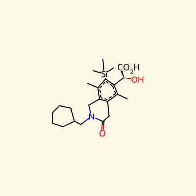 Cc1c2c(c(C)c([Si](C)(C)C)c1[C@H](O)C(=O)O)CN(CC1CCCCC1)C(=O)C2